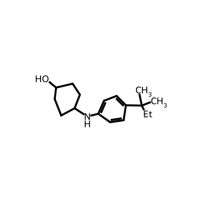 CCC(C)(C)c1ccc(NC2CCC(O)CC2)cc1